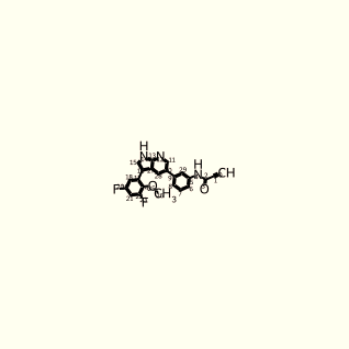 C#CC(=O)Nc1cccc(-c2cnc3[nH]cc(-c4cc(F)cc(F)c4OC)c3c2)c1